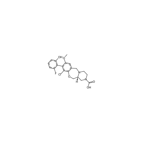 COc1cc2c(c(Cl)c1-c1c(O)cccc1F)OC[C@H]1CN(C(=O)O)CCN1C2